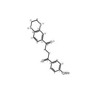 COc1ccc(C(=O)CCC(=O)c2ccc3c(c2)SCCS3)cc1